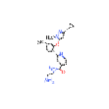 Cn1nc(C2CC2)cc1Oc1cc(C#N)ccc1-c1cc(C(=O)NCCN)ccn1